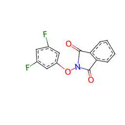 O=C1c2ccccc2C(=O)N1Oc1cc(F)cc(F)c1